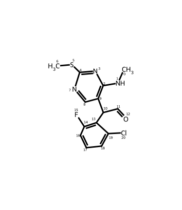 CNc1nc(SC)ncc1C(C=O)c1c(F)cccc1Cl